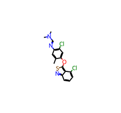 Cc1cc(N=CN(C)C)c(Cl)cc1Oc1snc2cccc(Cl)c12